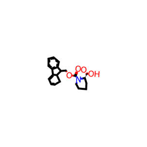 O=C(O)[C@@H]1CCCCN1C(=O)OCC1c2ccccc2C2=CC=CCC21